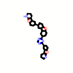 C1=Cc2c(oc3ccc(-c4ccc5oc6ccc(-c7ncnc(-c8ccc9oc%10ncccc%10c9c8)n7)cc6c5c4)cc23)NC1